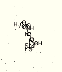 CS(=O)(=O)CS(=O)(=O)NCc1ccc(-c2ccc([C@H](O)[C@@H](CF)NC(=O)C(F)F)cc2)cn1